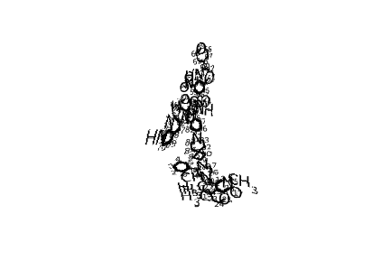 Cc1ccccc1[C@@H]1CN([C@@H](C)c2cn(C)c(=O)c3c2C(C)(C)CCO3)CCN1C1CC2(CCN(c3ccc(C(=O)NS(=O)(=O)c4cc5c(c([N+](=O)[O-])c4)N[C@H](C4CCOCC4)CO5)c(N4c5cc6cc[nH]c6nc5O[C@H]5COCC[C@@H]54)c3)CC2)C1